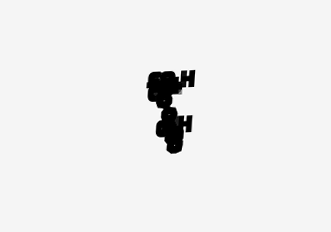 CC(C)(NS(=O)(=O)c1ccc(-c2ccc(NC(=O)c3cc4ccccc4o3)cc2)cc1)C(=O)O